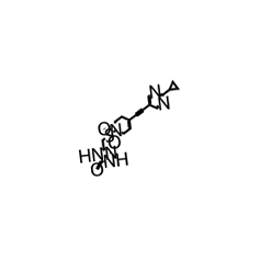 O=c1[nH]nc(CS(=O)(=O)N2CC=C(C#Cc3cnc(C4CC4)nc3)CC2)[nH]1